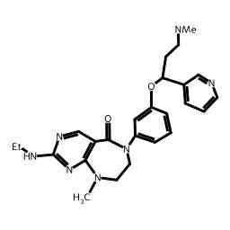 CCNc1ncc2c(n1)N(C)CCN(c1cccc(OC(CCNC)c3cccnc3)c1)C2=O